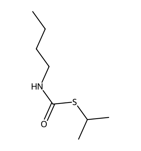 CCCCNC(=O)SC(C)C